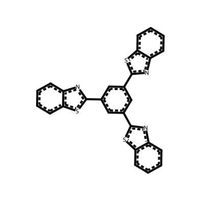 c1ccc2sc(-c3cc(-c4nc5ccccc5s4)cc(-c4nc5ccccc5s4)c3)nc2c1